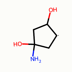 NC1(O)C[CH]C(O)C1